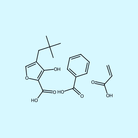 C=CC(=O)O.CC(C)(C)Cc1coc(C(=O)O)c1O.O=C(O)c1ccccc1